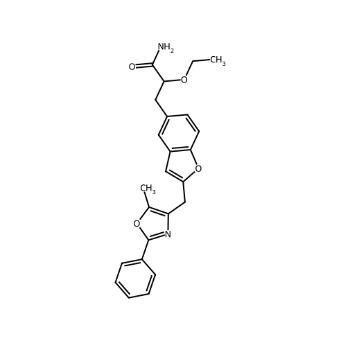 CCOC(Cc1ccc2oc(Cc3nc(-c4ccccc4)oc3C)cc2c1)C(N)=O